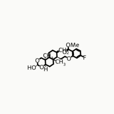 C=C1CCC2[C@]3(C)CO[C@@H](O)O[C@@H]3CC[C@@]2(C)[C@@H]1CCOc1cc(F)ccc1C(=O)OC